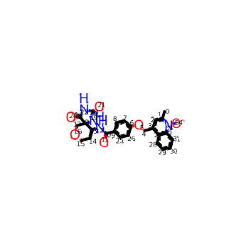 Cc1cc(COc2ccc(C(=O)NC3CCOCC34NC(=O)NC4=O)cc2)c2ccccc2[n+]1[O-]